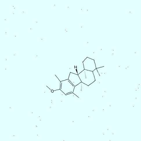 COc1cc(C)c2c(c1C)C[C@H]1[C@@]2(C)CCC2C(C)(C)CCC[C@@]21C